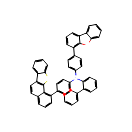 c1ccc(-c2ccccc2N(c2ccc(-c3cccc4c3oc3ccccc34)cc2)c2ccc(-c3cccc4ccc5c6ccccc6sc5c34)cc2)cc1